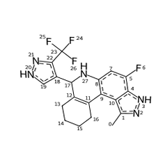 Cc1n[nH]c2c(F)cc3c(c12)C1=C(CCCC1)C(c1c[nH]nc1C(F)(F)F)N3